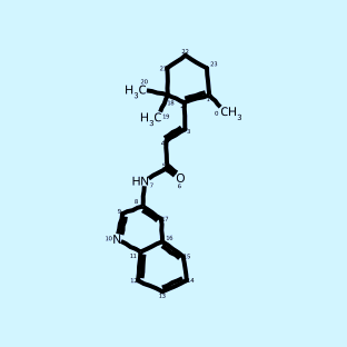 CC1=C(C=CC(=O)Nc2cnc3ccccc3c2)C(C)(C)CCC1